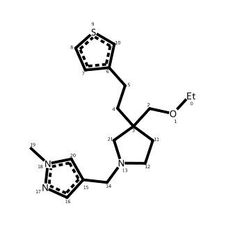 CCOCC1(CCc2ccsc2)CCN(Cc2cnn(C)c2)C1